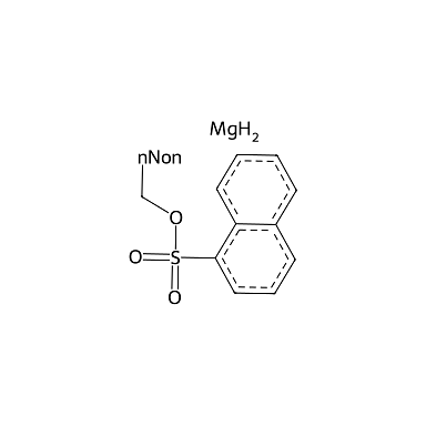 CCCCCCCCCCOS(=O)(=O)c1cccc2ccccc12.[MgH2]